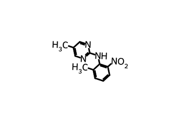 Cc1cnc(Nc2c(C)cccc2[N+](=O)[O-])nc1